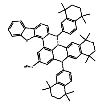 CCCCCc1cc(-c2c(Nc3ccc4c(c3)C(C)(C)CCC4(C)C)ccc3c2sc2ccccc23)c2c(c1)N(c1ccc3c(c1)C(C)(C)CCC3(C)C)c1cc3c(cc1B2)C(C)(C)CCC3(C)C